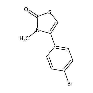 Cn1c(-c2ccc(Br)cc2)csc1=O